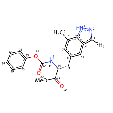 [2H]c1n[nH]c2c(C)cc(C[C@@H](NC(=O)Oc3ccccc3)C(=O)OC)cc12